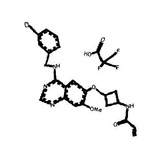 C=CC(=O)NC1CC(Oc2cc3c(NCc4cccc(Cl)c4)ncnc3cc2OC)C1.O=C(O)C(F)(F)F